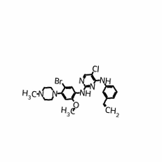 C=Cc1cccc(Nc2nc(Nc3cc(Br)c(N4CCN(C)CC4)cc3OC)ncc2Cl)c1